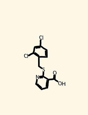 O=C(O)c1cccnc1SCc1ccc(Cl)cc1Cl